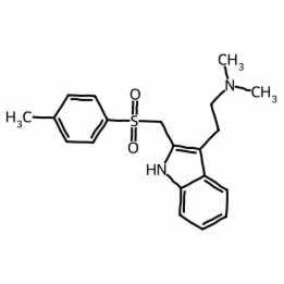 Cc1ccc(S(=O)(=O)Cc2[nH]c3ccccc3c2CCN(C)C)cc1